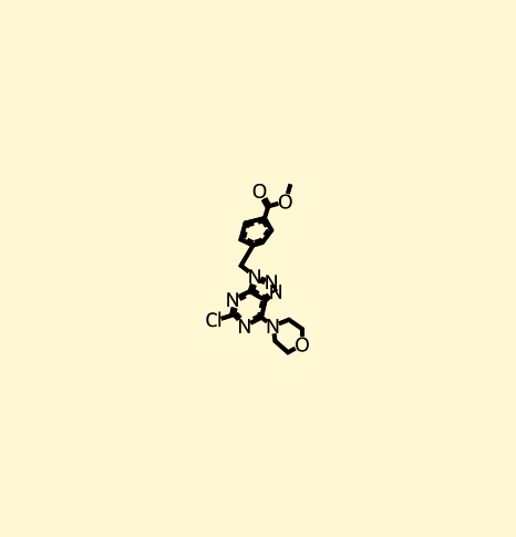 COC(=O)c1ccc(Cn2nnc3c(N4CCOCC4)nc(Cl)nc32)cc1